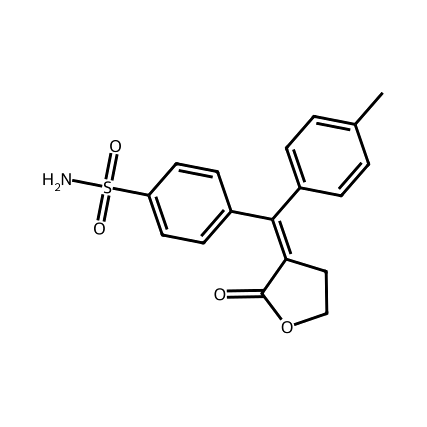 Cc1ccc(/C(=C2\CCOC2=O)c2ccc(S(N)(=O)=O)cc2)cc1